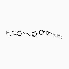 C=CCCOCc1ccc(-c2ccc(CCCCC3CCC(C=C)CC3)cc2)cc1